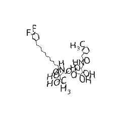 Cc1cccc(CC(=O)NCC2O[C@@H]3C(OC[C@H](NC(=O)CCCCCCCCCCc4ccc(F)c(F)c4)[C@H](O)[C@@H](C)O)OC3C(O)[C@H]2O)c1